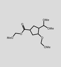 COCOC(=O)C1CC(OCOC)C(C(OC)OC)C1